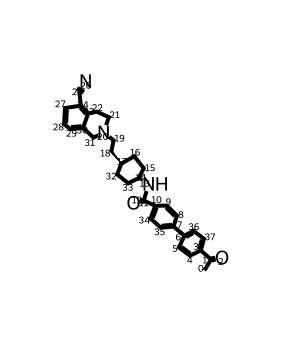 CC(=O)c1ccc(-c2ccc(C(=O)N[C@H]3CC[C@H](CCN4CCc5c(C#N)cccc5C4)CC3)cc2)cc1